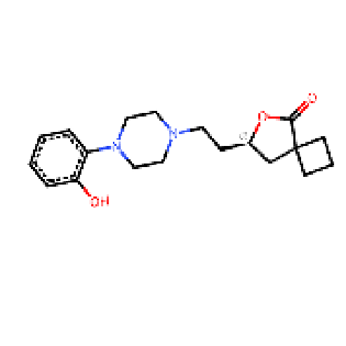 O=C1O[C@H](CCN2CCN(c3ccccc3O)CC2)CC12CCC2